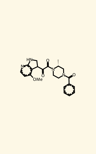 COc1ccnc2c1C(C(=O)C(=O)N1CCN(C(=O)c3ccccc3)C[C@H]1C)CN2